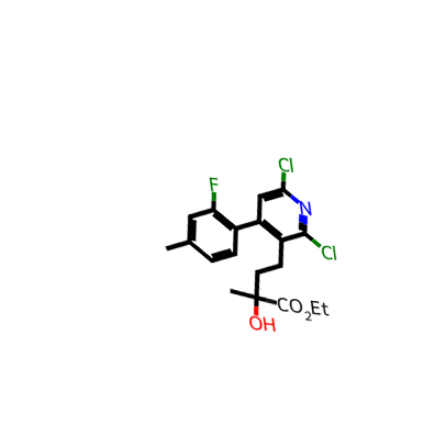 CCOC(=O)C(C)(O)CCc1c(-c2ccc(C)cc2F)cc(Cl)nc1Cl